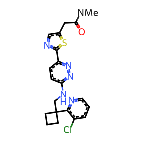 CNC(=O)Cc1cnc(-c2ccc(NCC3(c4ncccc4Cl)CCC3)nn2)s1